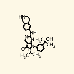 CC(C)n1c(=O)c2cnc(Nc3ccc4c(c3)CCNC4)nc2n1-c1cccc(C(C)(C)O)c1